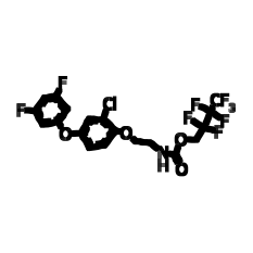 O=C(NCCOc1ccc(Oc2cc(F)cc(F)c2)cc1Cl)OCC(F)(F)C(F)(F)C(F)(F)F